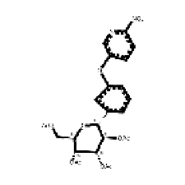 CC(=O)OC[C@H]1O[C@H](c2cccc(Oc3ccc([N+](=O)[O-])nc3)c2)[C@@H](OC(C)=O)[C@H](OC(C)=O)[C@@H]1OC(C)=O